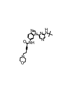 CC(C)(C)Nc1cncc(-n2cnc3ccc(NC(=O)C#CCCN4CCOCC4)cc32)n1